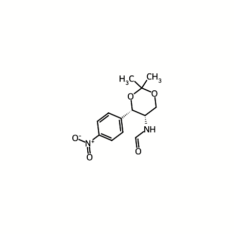 CC1(C)OC[C@H](NC=O)[C@H](c2ccc([N+](=O)[O-])cc2)O1